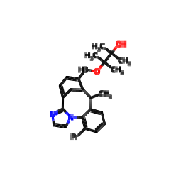 CC(C)c1cccc2c1-n1ccnc1-c1ccc(BOC(C)(C)C(C)(C)O)c(c1)C2C